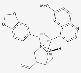 C=CC1C[N+]2(Cc3ccc4c(c3)OCO4)CCC1C[C@H]2[C@H](O)c1ccnc2ccc(OC)cc12